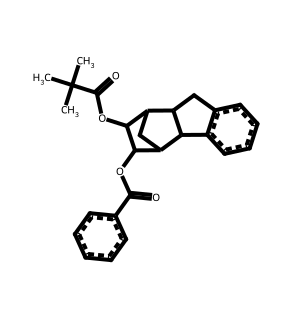 CC(C)(C)C(=O)OC1C2CC(C1OC(=O)c1ccccc1)C1c3ccccc3CC21